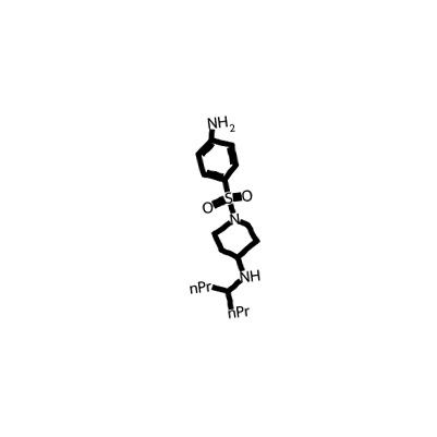 CCCC(CCC)NC1CCN(S(=O)(=O)c2ccc(N)cc2)CC1